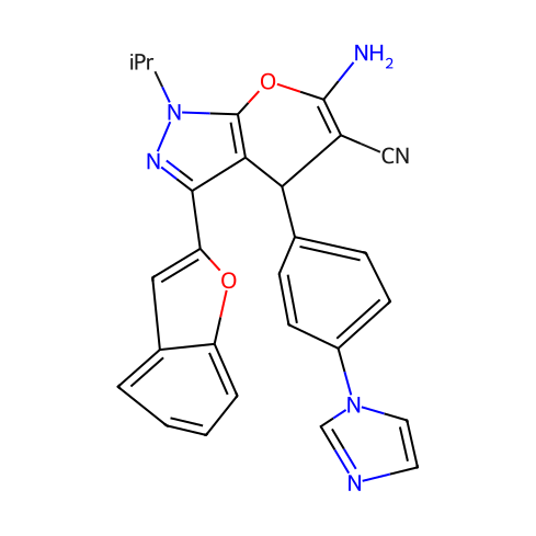 CC(C)n1nc(-c2cc3ccccc3o2)c2c1OC(N)=C(C#N)C2c1ccc(-n2ccnc2)cc1